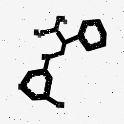 CN(C)C(CNc1cncc(C#N)c1)c1ccccc1